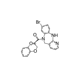 O=C([C@H]1COc2ccccc2O1)N1Cc2cccnc2Nc2ccc(Br)cc21